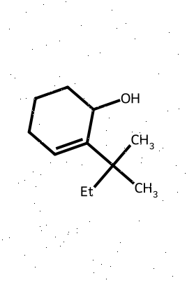 CCC(C)(C)C1=CCCCC1O